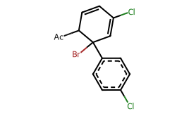 CC(=O)C1C=CC(Cl)=CC1(Br)c1ccc(Cl)cc1